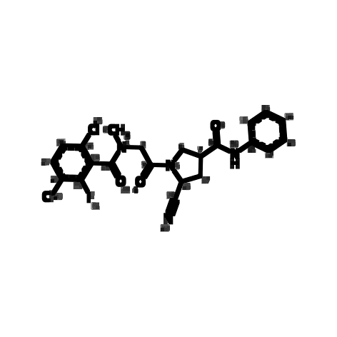 CN(CC(=O)N1CC(C(=O)Nc2ccccc2)CC1C#N)C(=O)c1c(Cl)ccc(Cl)c1F